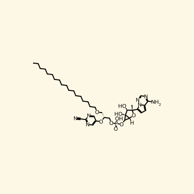 CCCCCCCCCCCCCCCCCCOC[C@H](COP(=O)(O)OC1[C@H]2O[C@@](C)(c3ccc4c(N)ncnn34)[C@H](O)[C@@]12O)Oc1cnc(C#N)nc1